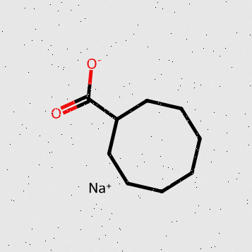 O=C([O-])C1CCCCCCC1.[Na+]